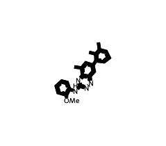 COc1ccccc1Nc1nnc2cc(-c3cccc(C)c3C)cc(C)c2n1